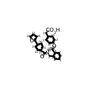 CC(C)N(Cc1ccccc1COc1ccc(CC(=O)O)cc1)C(=O)c1ccc(-c2ccco2)cc1